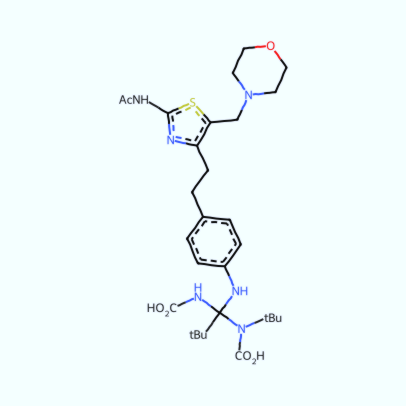 CC(=O)Nc1nc(CCc2ccc(NC(NC(=O)O)(N(C(=O)O)C(C)(C)C)C(C)(C)C)cc2)c(CN2CCOCC2)s1